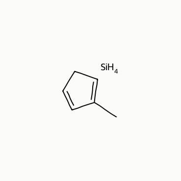 CC1=CCC=C1.[SiH4]